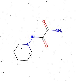 NC(=O)C(=O)NN1CCCCC1